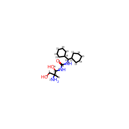 CC(N)(CO)C(O)NC(=O)NC(C1CCCCC1)C1CCCCC1